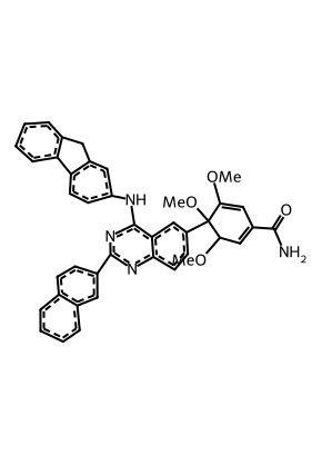 COC1=CC(C(N)=O)=CC(OC)C1(OC)c1ccc2nc(-c3ccc4ccccc4c3)nc(Nc3ccc4c(c3)Cc3ccccc3-4)c2c1